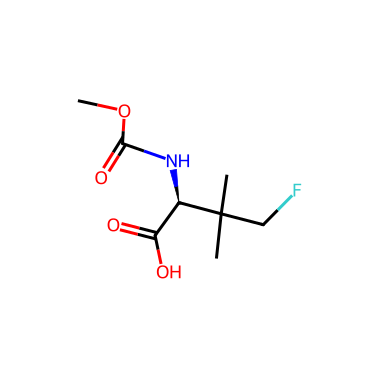 COC(=O)N[C@H](C(=O)O)C(C)(C)CF